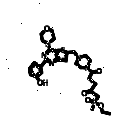 CCOP(C)(=O)CC(=O)CCC(=O)N1CCN(Cc2cc3nc(-c4cccc(O)c4)nc(N4CCOCC4)c3s2)CC1